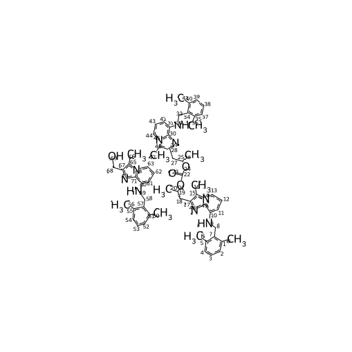 Cc1cccc(C)c1CNc1cccn2c(C)c(CC(C)OC(=O)OC(C)Cc3nc4c(NCc5c(C)cccc5C)cccn4c3C)nc12.Cc1cccc(C)c1CNc1cccn2c(C)c(CO)nc12